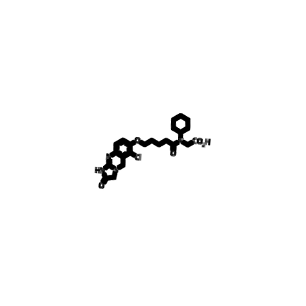 O=C(O)CN(C(=O)CCCCOc1ccc2c(c1Cl)CN1CC(=O)NC1=N2)C1CCCCC1